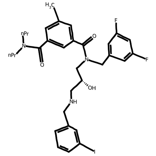 CCCN(CCC)C(=O)c1cc(C)cc(C(=O)N(Cc2cc(F)cc(F)c2)C[C@H](O)CNCc2cccc(I)c2)c1